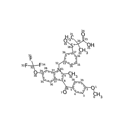 COc1ccc(C(=O)c2c(C)n(Cc3cccc([S+]([O-])C(C)(C)C(=O)O)c3)c3cc(OC(F)(F)F)ccc23)cc1